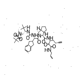 C#CCCC(NC(=O)[C@@H]1[C@H]2CCC[C@H]2CN1C(=O)[C@@H](NC(=O)N[C@H](CN(C)S(=O)(=O)C(C)(C)C)C(C)(C)C)C1Cc2ccccc2C1)C(=O)C(=O)NCC=C